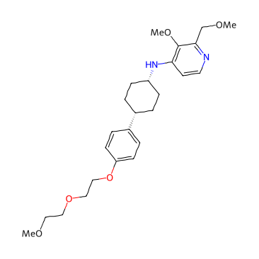 COCCOCCOc1ccc([C@H]2CC[C@@H](Nc3ccnc(COC)c3OC)CC2)cc1